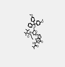 CCCP(=O)(O[C@H]1C[C@H](n2cnc3c(=O)[nH]c(NC(=O)C(C)C)nc32)O[C@@H]1COC(c1ccccc1)(c1ccc(OC)cc1)c1ccc(OC)cc1)N(C(C)C)C(C)C